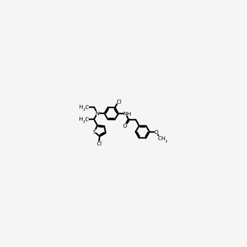 CCN(c1ccc(NC(=O)Cc2cccc(OC)c2)c(Cl)c1)C(C)c1ccc(Cl)s1